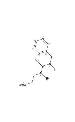 COCCN(S)C(=O)N(C)Cc1cccnc1